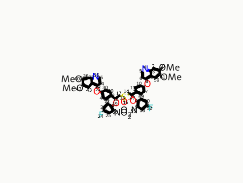 COc1cc2nccc(Oc3ccc(C(C[S+]([O-])CC(Oc4ccc(F)cc4[N+](=O)[O-])c4ccc(Oc5ccnc6cc(OC)c(OC)cc56)cc4)Oc4ccc(F)cc4[N+](=O)[O-])cc3)c2cc1OC